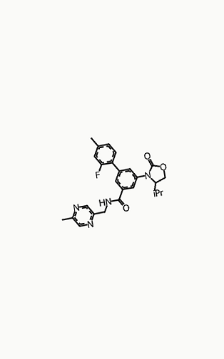 Cc1ccc(-c2cc(C(=O)NCc3cnc(C)cn3)cc(N3C(=O)OCC3C(C)C)c2)c(F)c1